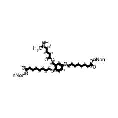 CCCCCCCCCOC(=O)CCCCCCCOc1ccc(OCCCCCCCC(=O)OCCCCCCCCC)c(COC(=O)CCCN(C)C)c1